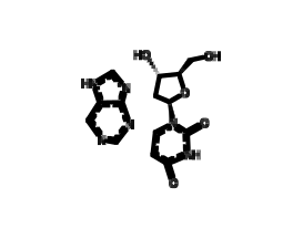 O=c1ccn([C@H]2C[C@H](O)[C@@H](CO)O2)c(=O)[nH]1.c1ncc2[nH]cnc2n1